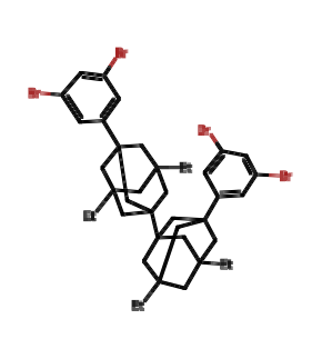 CCC12CC3(CC)CC(c4cc(Br)cc(Br)c4)(C1)CC(C14CC5(CC)CC(CC)(CC(c6cc(Br)cc(Br)c6)(C5)C1)C4)(C2)C3